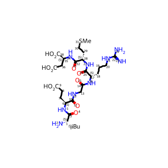 CC[C@H](C)[C@H](N)C(=O)N[C@@H](CCC(=O)O)C(=O)NCC(=O)N[C@@H](CCCNC(=N)N)C(=O)N[C@@H](CCSC)C(=O)N[C@@H](CC(=O)O)C(=O)O